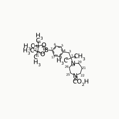 CC(C)(Cc1ccc(B2OC(C)(C)C(C)(C)O2)cc1)N1CCCN(C(=O)O)CC1